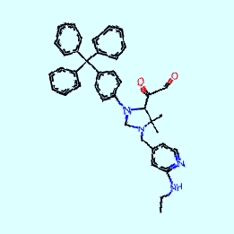 CCNc1cc(CN2CN(c3ccc(C(c4ccccc4)(c4ccccc4)c4ccccc4)cc3)C(C(=O)C=O)C2(C)C)ccn1